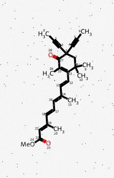 CC#CC1(C#CC)CC(C)(C)C(/C=C/C(C)=C/C=C/C(C)=C/C(=O)OC)=C(C)C1=O